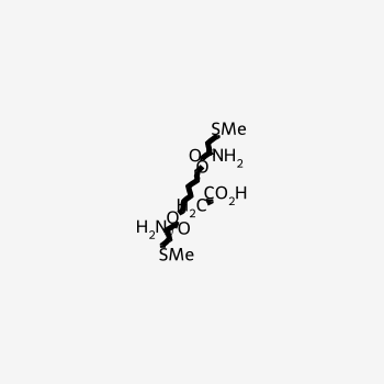 C=CC(=O)O.CSCC[C@H](N)C(=O)OCCCCCCOC(=O)[C@@H](N)CCSC